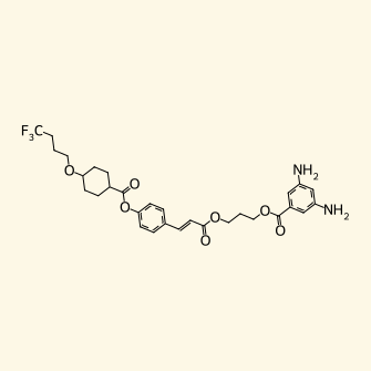 Nc1cc(N)cc(C(=O)OCCCOC(=O)/C=C/c2ccc(OC(=O)C3CCC(OCCCC(F)(F)F)CC3)cc2)c1